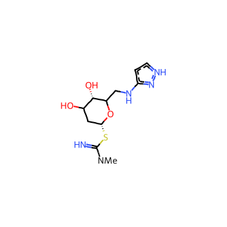 CNC(=N)S[C@@H]1CC(O)[C@H](O)C(CNc2cc[nH]n2)O1